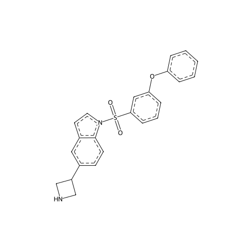 O=S(=O)(c1cccc(Oc2ccccc2)c1)n1ccc2cc(C3CNC3)ccc21